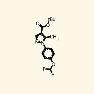 Cc1c(C(=O)OC(C)(C)C)cnn1-c1ccc(OC(F)F)cc1